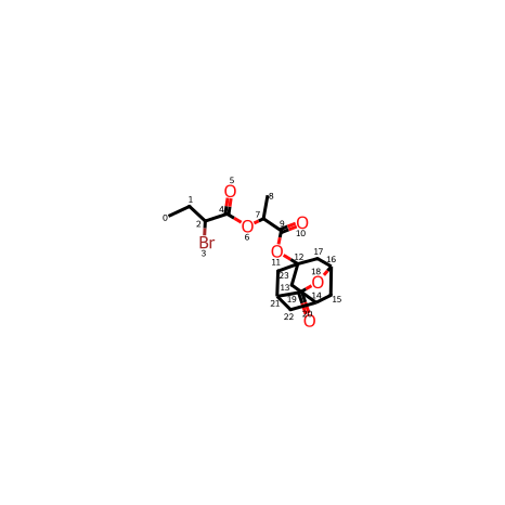 CCC(Br)C(=O)OC(C)C(=O)OC12CC3CC(C1)OC(=O)C(C3)C2